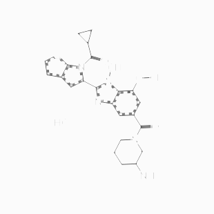 COc1cc(C(=O)N2CCCC(N)C2)cc2nc(-c3cc4ccsc4n3C(=O)C3CC3)n(C)c12.Cl